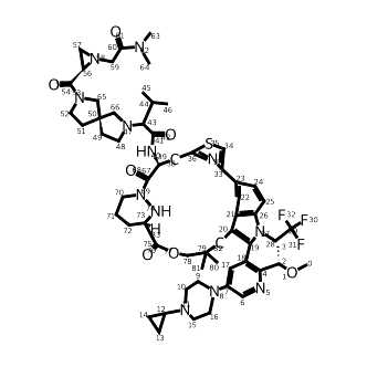 CO[C@@H](C)c1ncc(N2CCN(C3CC3)CC2)cc1-c1c2c3cc(ccc3n1CC(F)(F)F)-c1csc(n1)C[C@H](NC(=O)C(C(C)C)N1CC[C@]3(CCN(C(=O)[C@H]4CN4CC(=O)N(C)C)C3)C1)C(=O)N1CCC[C@H](N1)C(=O)OCC(C)(C)C2